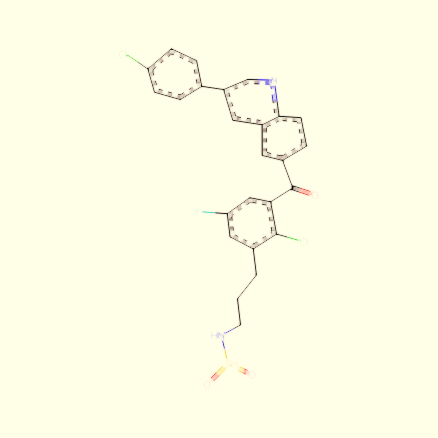 O=C(c1ccc2ncc(-c3ccc(Cl)cc3)cc2c1)c1cc(F)cc(CCCN[SH](=O)=O)c1Cl